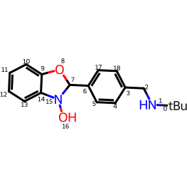 CC(C)(C)NCc1ccc(C2Oc3ccccc3N2O)cc1